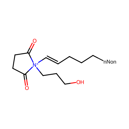 CCCCCCCCCCCCC=C[N+]1(CCCO)C(=O)CCC1=O